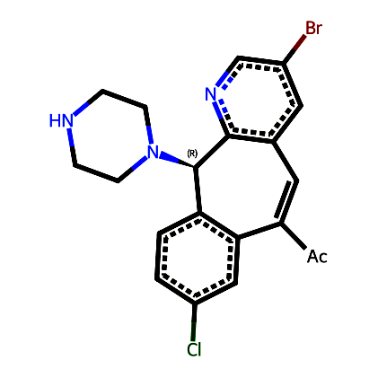 CC(=O)C1=Cc2cc(Br)cnc2[C@H](N2CCNCC2)c2ccc(Cl)cc21